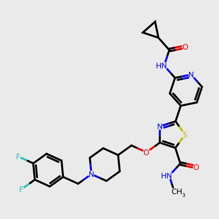 CNC(=O)c1sc(-c2ccnc(NC(=O)C3CC3)c2)nc1OCC1CCN(Cc2ccc(F)c(F)c2)CC1